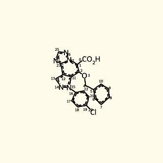 O=C(O)c1c(OCc2ccccc2)c2c(cnn2-c2ccc(Cl)cc2)c2ncnn12